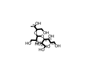 C[C@@H](O)C(CO)OC(O[C@@H]([C@H](O)[C@@H](O)CO)[C@H](O)CO)[C@@H](O)CO